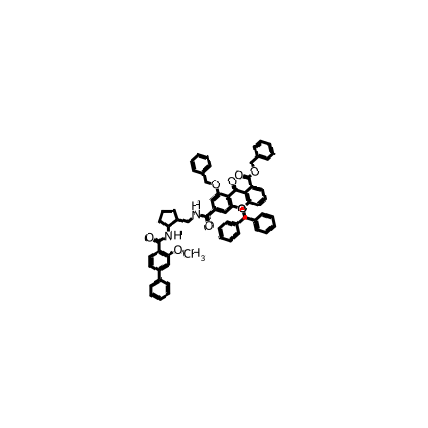 COc1cc(-c2ccccc2)ccc1C(=O)NC1CCCC1CNC(=O)c1cc(OCc2ccccc2)c(C(=O)c2c(OCc3ccccc3)cccc2C(=O)OCc2ccccc2)c(OCc2ccccc2)c1